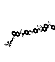 COc1ccc(Nc2ccc3c(O)c(N=Nc4ccc(N=Nc5ccc(C(=O)Nc6ccc7c(OCCCCS(=O)(=O)O)cccc7c6)cc5C)cc4)ccc3c2)cc1